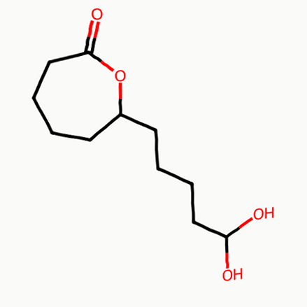 O=C1CCCCC(CCCCC(O)O)O1